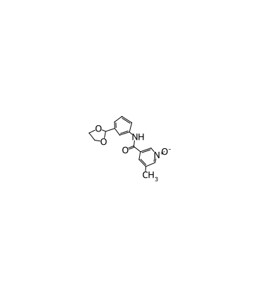 Cc1cc(C(=O)Nc2cccc(C3OCCO3)c2)c[n+]([O-])c1